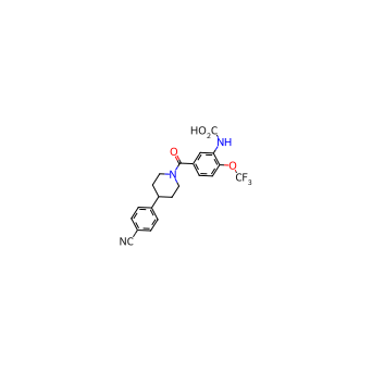 N#Cc1ccc(C2CCN(C(=O)c3ccc(OC(F)(F)F)c(NC(=O)O)c3)CC2)cc1